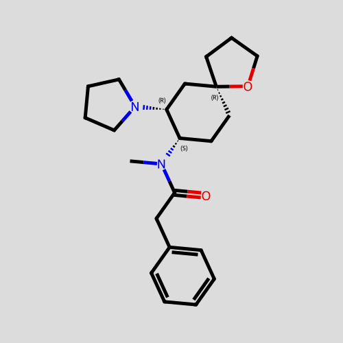 CN(C(=O)Cc1ccccc1)[C@H]1CC[C@@]2(CCCO2)C[C@H]1N1CCCC1